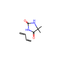 C=CC=C.CC1(C)NC(=O)NC1=O